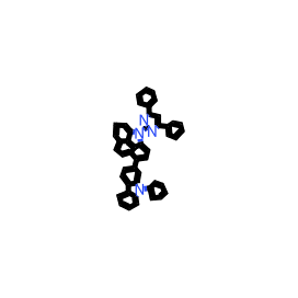 c1ccc(-c2cc(-c3ccccc3)nc(-n3c4cccc5ccc6c(-c7ccc8c9ccccc9n(-c9ccccc9)c8c7)ccc3c6c54)n2)cc1